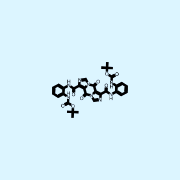 CC(C)(C)OC(=O)Nc1ccccc1NC(=O)c1ncn2c(=O)c3c(C(=O)Nc4ccccc4NC(=O)OC(C)(C)C)ncn3c(=O)c12